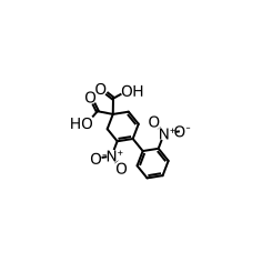 O=C(O)C1(C(=O)O)C=CC(c2ccccc2[N+](=O)[O-])=C([N+](=O)[O-])C1